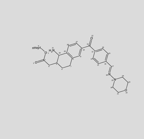 CCCCCCCOC(=O)CC1CCc2cc(C(=O)c3ccc(C=NN4CCOCC4)cc3)ccc2C1N